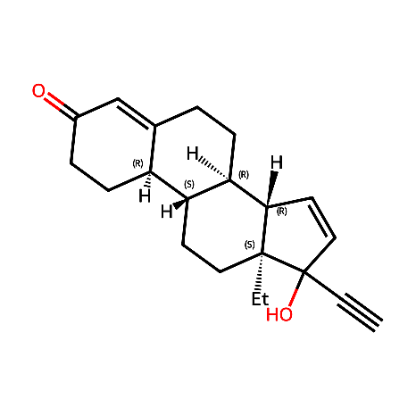 C#CC1(O)C=C[C@H]2[C@@H]3CCC4=CC(=O)CC[C@@H]4[C@H]3CC[C@@]21CC